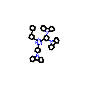 c1ccc(-c2cccc(-c3nc(-c4ccc(-n5c6ccccc6c6ccccc65)cc4)nc(-c4cc(-n5c6ccccc6c6ccccc65)cc(-n5c6ccccc6c6ccccc65)c4)n3)c2)cc1